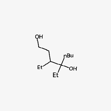 CCCCC(O)(CC)C(CC)CCO